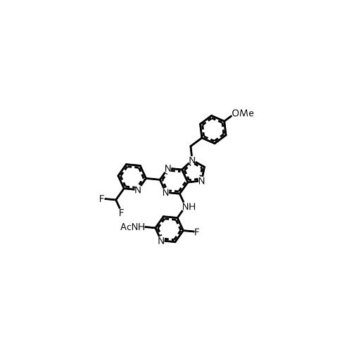 COc1ccc(Cn2cnc3c(Nc4cc(NC(C)=O)ncc4F)nc(-c4cccc(C(F)F)n4)nc32)cc1